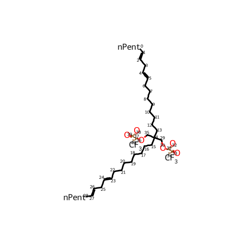 CCCCCC=CCC=CCCCCCCCCC(CCCCCCCCC=CCC=CCCCCC)(COS(=O)(=O)C(F)(F)F)COS(=O)(=O)C(F)(F)F